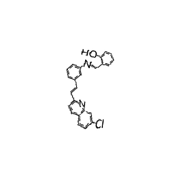 Oc1ccccc1C=Nc1cccc(C=Cc2ccc3ccc(Cl)cc3n2)c1